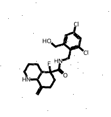 C=C1CCC(F)(C(=O)NCc2c(Cl)cc(Cl)cc2CO)C2CCCNC12